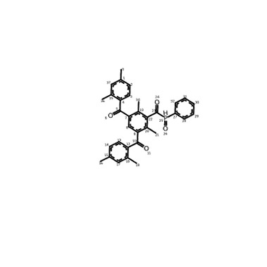 Cc1ccc(C(=O)c2cc(C(=O)c3ccc(C)cc3C)c(C)c(C(=O)[PH](=O)c3ccccc3)c2C)c(C)c1